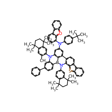 Cc1cc2c(cc1N1c3cc(-c4ccccc4)ccc3B3c4c(cc(N(c5ccc(C(C)(C)C)cc5)c5cccc6c5oc5ccccc56)cc41)-c1ccc4c(sc5ccccc54)c1N3c1ccc3c(c1)C(C)(C)CCC3(C)C)C(C)(C)CCC2(C)C